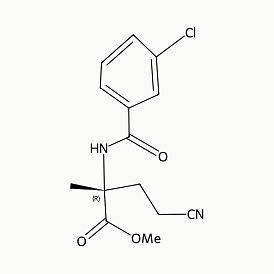 COC(=O)[C@@](C)(CCC#N)NC(=O)c1cccc(Cl)c1